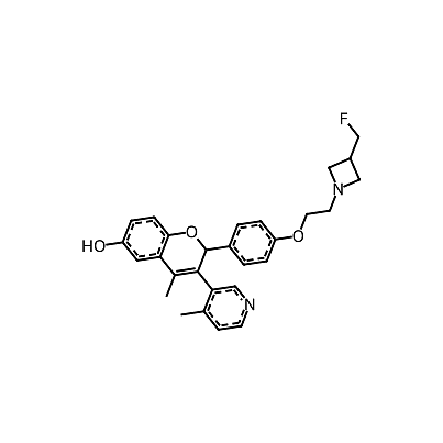 CC1=C(c2cnccc2C)C(c2ccc(OCCN3CC(CF)C3)cc2)Oc2ccc(O)cc21